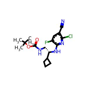 CC(C)(C)OC(=O)NC[C@H](Nc1nc(Cl)c(C#N)cc1F)C1CCC1